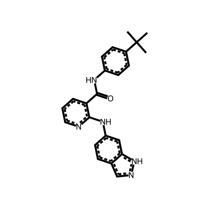 CC(C)(C)c1ccc(NC(=O)c2cccnc2Nc2ccc3cn[nH]c3c2)cc1